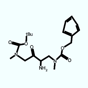 CN(CC(N)C(=O)CN(C)C(=O)OC(C)(C)C)C(=O)OCc1ccccc1